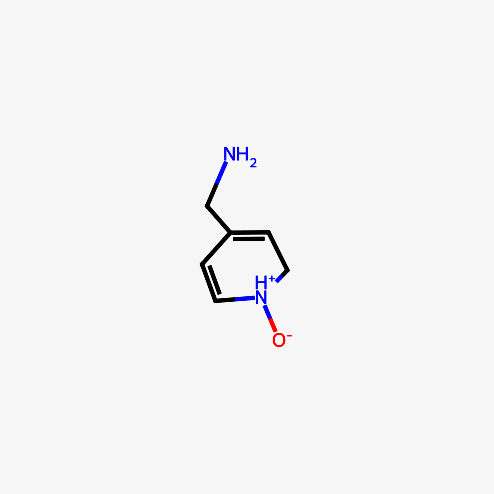 NCC1=CC[NH+]([O-])C=C1